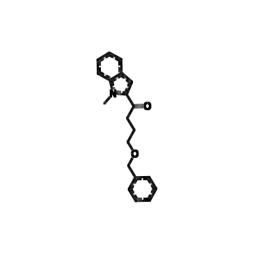 Cn1c(C(=O)CCCOCc2ccccc2)cc2ccccc21